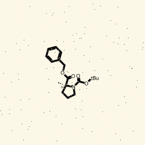 CC(C)(C)OC(=O)N1CCC[C@@]1(C)C(=O)OCc1ccccc1